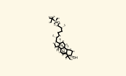 C[C@H](CCC[C@@H](C)[C@H]1CC[C@H]2[C@@H]3CC=C4C(C)(C)[C@@H](O)CC[C@]4(C)[C@H]3CC[C@]12C)CO[Si](C)(C)C(C)(C)C